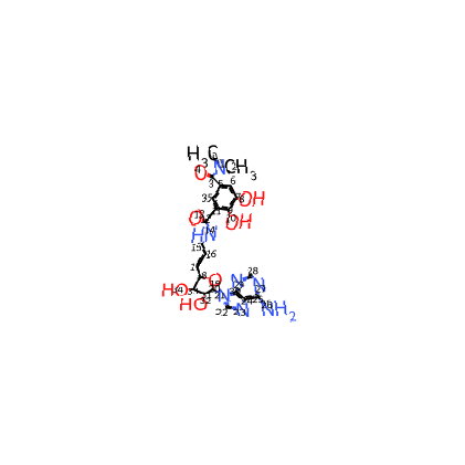 CN(C)C(=O)c1cc(O)c(O)c(C(=O)NCC=CC2OC(n3cnc4c(N)ncnc43)[C@H](O)C2O)c1